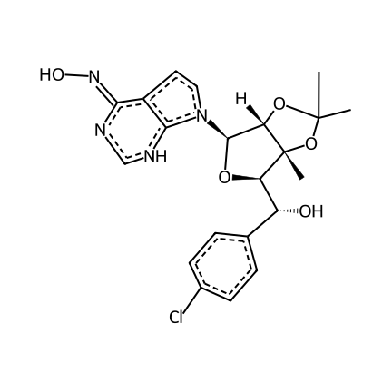 CC1(C)O[C@H]2[C@H](n3ccc4/c(=N/O)nc[nH]c43)O[C@H]([C@H](O)c3ccc(Cl)cc3)[C@@]2(C)O1